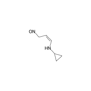 O=NC/C=C\NC1CC1